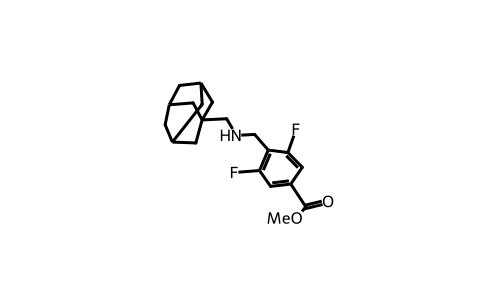 COC(=O)c1cc(F)c(CNCC23CC4CC(CC(C4)C2)C3)c(F)c1